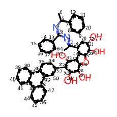 C/C(=N\C(=N/C(C)c1ccccc1)c1ccccc1)c1cc(O)c(O)c2oc3c(O)c(O)c(-c4ccc5c6ccccc6c6ccccc6c5c4)c(O)c3c12